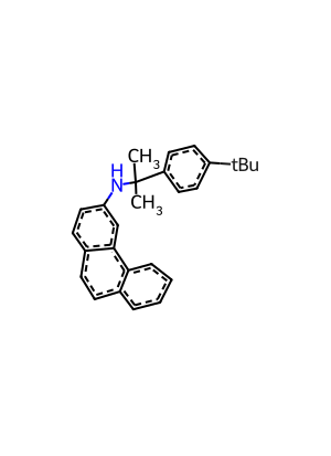 CC(C)(C)c1ccc(C(C)(C)Nc2ccc3ccc4ccccc4c3c2)cc1